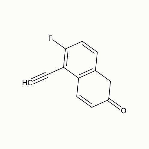 C#Cc1c(F)ccc2c1C=CC(=O)C2